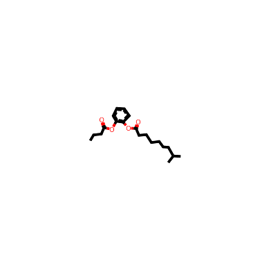 CCCC(=O)Oc1ccccc1OC(=O)CCCCCCC(C)C